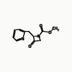 COC(=O)N1CC(=O)C1Cc1ccccn1